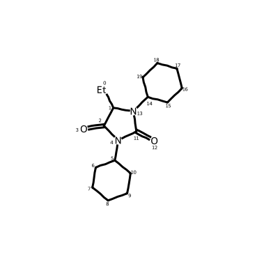 CCC1C(=O)N(C2CCCCC2)C(=O)N1C1CCCCC1